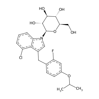 CC(C)Oc1ccc(Cc2cn([C@@H]3O[C@H](CO)[C@@H](O)[C@H](O)[C@H]3O)c3cccc(Cl)c23)c(F)c1